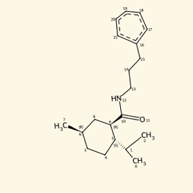 CC(C)[C@@H]1CC[C@@H](C)C[C@H]1C(=O)NCCCc1ccccc1